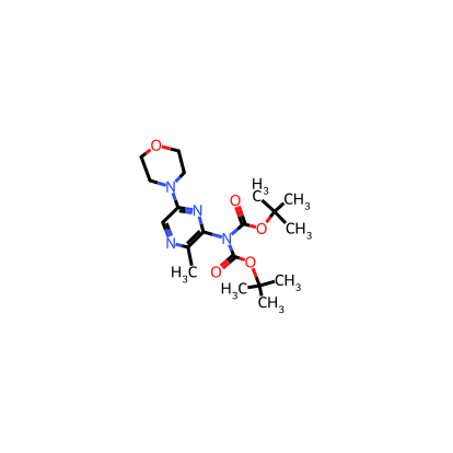 Cc1ncc(N2CCOCC2)nc1N(C(=O)OC(C)(C)C)C(=O)OC(C)(C)C